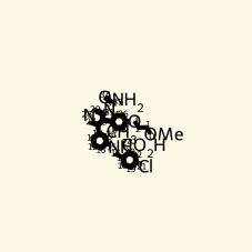 COCCOc1ccc2c3c(-c4cccc(NCc5ccc(Cl)cc5C(=O)O)c4C)cncc3n(C(N)=O)c2c1